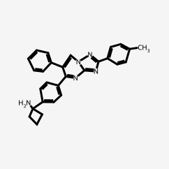 Cc1ccc(-c2nc3nc(-c4ccc(C5(N)CCC5)cc4)c(-c4ccccc4)cn3n2)cc1